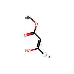 CCCCOC(=O)/C=C(/C)O